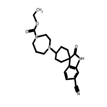 CCOC(=O)N1CCCN(C2CCC3(CC2)C(=O)Nc2cc(C#N)ccc23)CC1